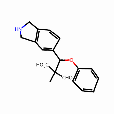 CC(C=O)(C(=O)O)C(Oc1ccccc1)c1ccc2c(c1)CNC2